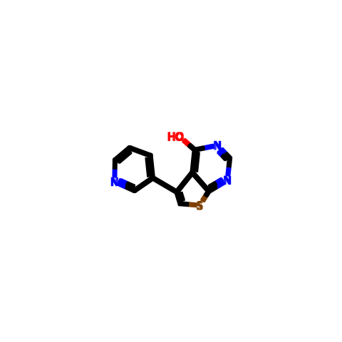 Oc1ncnc2scc(-c3cccnc3)c12